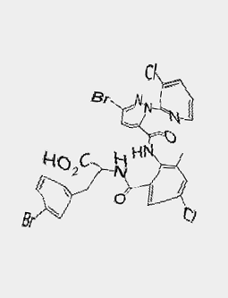 Cc1cc(Cl)cc(C(=O)NC(Cc2cccc(Br)c2)C(=O)O)c1NC(=O)c1cc(Br)nn1-c1ncccc1Cl